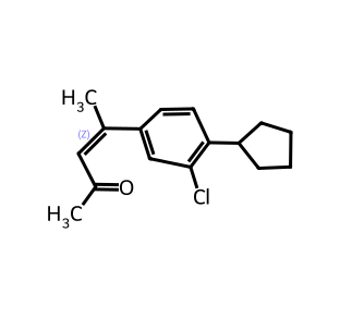 CC(=O)/C=C(/C)c1ccc(C2CCCC2)c(Cl)c1